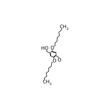 CCCCCCCCOc1cc(CO)c(OCCCCCCCC)cc1C=O